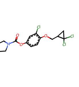 O=C(Oc1ccc(OCC2CC2(Cl)Cl)c(Cl)c1)N1CCCC1